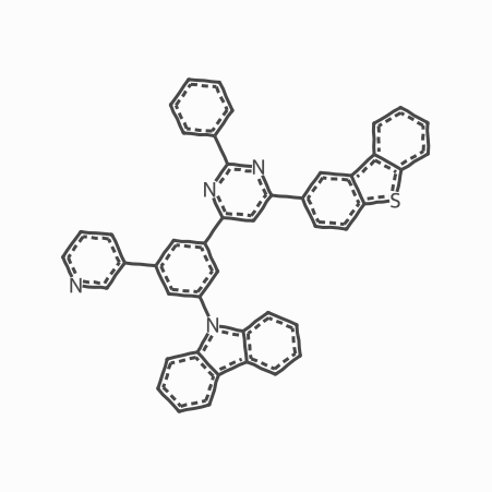 c1ccc(-c2nc(-c3cc(-c4cccnc4)cc(-n4c5ccccc5c5ccccc54)c3)cc(-c3ccc4sc5ccccc5c4c3)n2)cc1